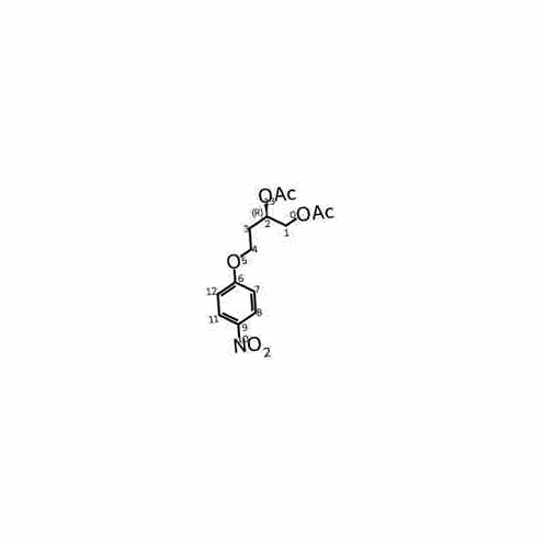 CC(=O)OC[C@@H](CCOc1ccc([N+](=O)[O-])cc1)OC(C)=O